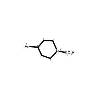 CC(=O)C1CCN(C(=O)O)CC1